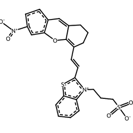 O=[N+]([O-])c1ccc2c(c1)OC1=C(C=Cc3sc4ccccc4[n+]3CCCS(=O)(=O)[O-])CCCC1=C2